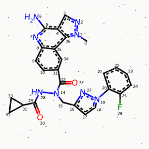 Cn1ncc2c(N)nc3ccc(C(=O)N(Cc4ccn(-c5ccccc5F)n4)NC(=O)C4CC4)cc3c21